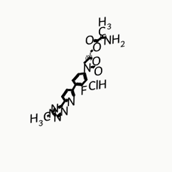 C[C@H](N)C(=O)OC[C@H]1CN(c2ccc(-c3ccc(-c4nnn(C)n4)nc3)c(F)c2)C(=O)O1.Cl